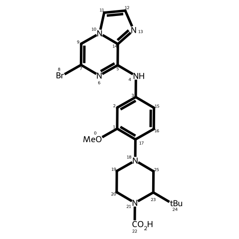 COc1cc(Nc2nc(Br)cn3ccnc23)ccc1N1CCN(C(=O)O)C(C(C)(C)C)C1